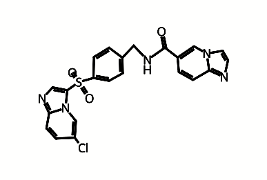 O=C(NCc1ccc(S(=O)(=O)c2cnc3ccc(Cl)cn23)cc1)c1ccc2nccn2c1